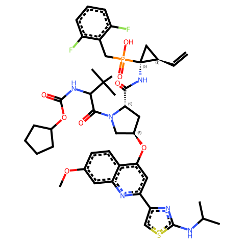 C=C[C@@H]1C[C@]1(NC(=O)[C@@H]1C[C@@H](Oc2cc(-c3csc(NC(C)C)n3)nc3cc(OC)ccc23)CN1C(=O)C(NC(=O)OC1CCCC1)C(C)(C)C)P(=O)(O)Cc1c(F)cccc1F